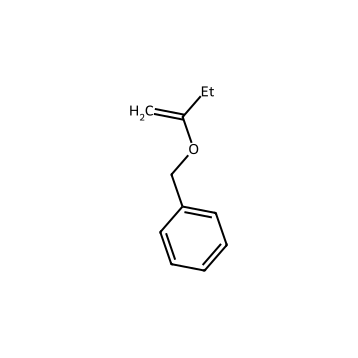 C=C(CC)OCc1ccccc1